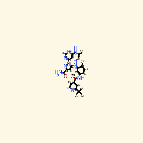 CNC(=O)c1cc(Nc2cc(NC(=O)c3ccnc(C(C)(C)C)c3)ccc2C)n(-c2cc(NC(C)C)ncn2)n1